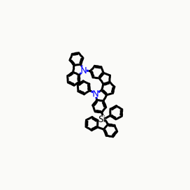 c1ccc(-n2c3ccc([Si]4(c5ccccc5)c5ccccc5-c5ccccc54)cc3c3ccc4c(c32)-c2cc(-n3c5ccccc5c5ccccc53)ccc2C4)cc1